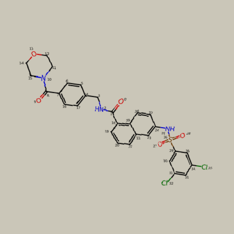 O=C(NCc1ccc(C(=O)N2CCOCC2)cc1)c1cccc2cc(NS(=O)(=O)c3cc(Cl)cc(Cl)c3)ccc12